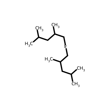 CC(C)CC(C)[CH2][Ir][CH2]C(C)CC(C)C